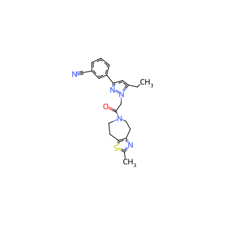 CCc1cc(-c2cccc(C#N)c2)nn1CC(=O)N1CCc2nc(C)sc2CC1